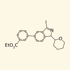 CCOC(=O)c1cccc(-c2ccc3c(c2)C(I)=NC3C2CCCCO2)c1